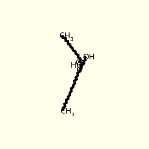 CCCCCCCCCCCCCCCCCCCCCOCC(O)CN(CCO)C(=O)CCCCCCCCCCCCCCC